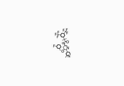 Cc1cc(C2=NC=C(N(C)C(=O)C(C)(C)c3cc(C(F)(F)F)cc(C(F)(F)F)c3)[C@@H](c3ccc(F)cc3C)C2=O)ccn1